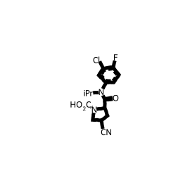 CC(C)N(C(=O)C1CC(C#N)CN1C(=O)O)c1ccc(F)c(Cl)c1